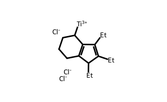 CCC1=C(CC)C(CC)C2=C1[CH]([Ti+3])CCC2.[Cl-].[Cl-].[Cl-]